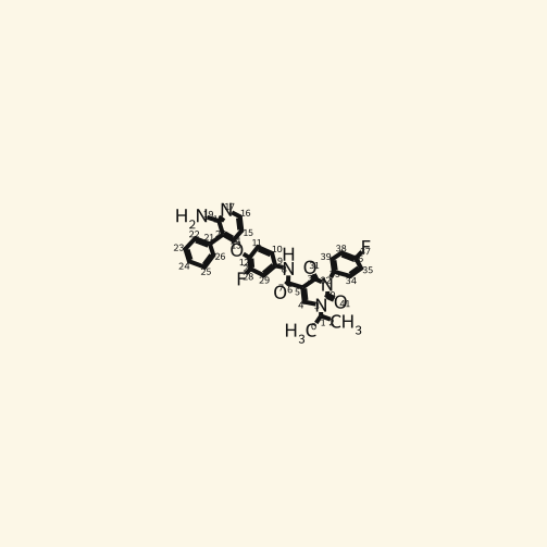 CC(C)n1cc(C(=O)Nc2ccc(Oc3ccnc(N)c3-c3ccccc3)c(F)c2)c(=O)n(-c2ccc(F)cc2)c1=O